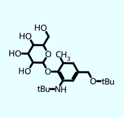 CC1CC(COC(C)(C)C)=CC(NC(C)(C)C)=C1OC1OC(CO)C(O)C(O)C1O